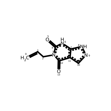 C=CCn1c(=O)[nH]c2[nH]ncc2c1=O